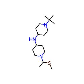 CSC(C)N1CCC(NC2CCN(C(C)(C)C)CC2)CC1